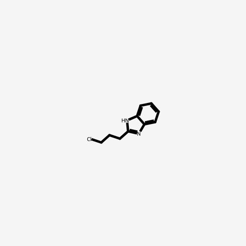 ClCCCc1nc2ccccc2[nH]1